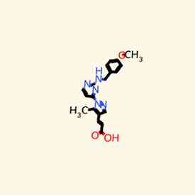 COc1ccc(CNc2nccc(-n3ncc(/C=C/C(=O)O)c3C)n2)cc1